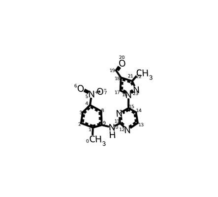 Cc1ccc([N+](=O)[O-])cc1Nc1nccc(-n2cc(C=O)c(C)n2)n1